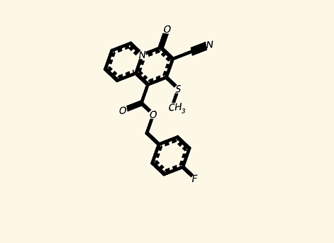 CSc1c(C#N)c(=O)n2ccccc2c1C(=O)OCc1ccc(F)cc1